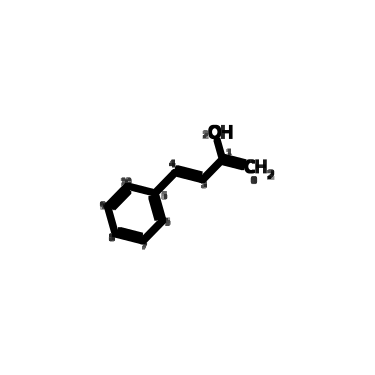 C=C(O)C=Cc1ccccc1